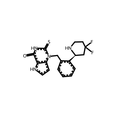 O=c1[nH]c(=S)n(Cc2ccccc2[C@@H]2CC(F)(F)CCN2)c2cc[nH]c12